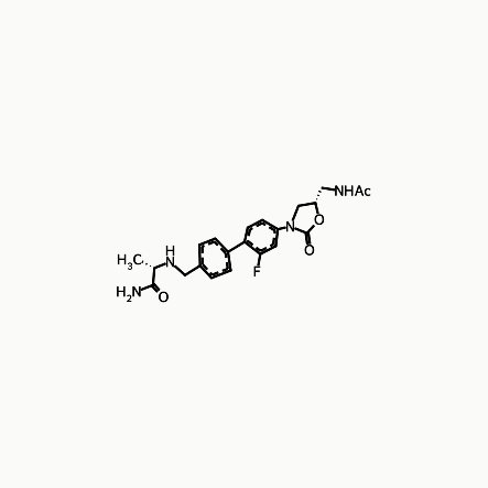 CC(=O)NC[C@H]1CN(c2ccc(-c3ccc(CN[C@@H](C)C(N)=O)cc3)c(F)c2)C(=O)O1